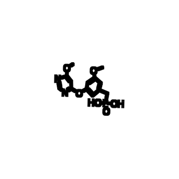 COc1cc(CP(=O)(O)O)cc(Oc2cc(OC)ncn2)c1